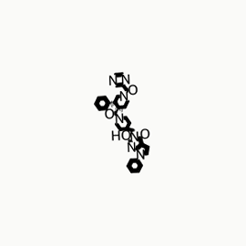 O=C(c1cnccn1)N1CC[C@@H](C(=O)N2CCC(O)(Cn3cnc4c(ccn4-c4ccccc4)c3=O)CC2)[C@H](c2ccccc2)C1